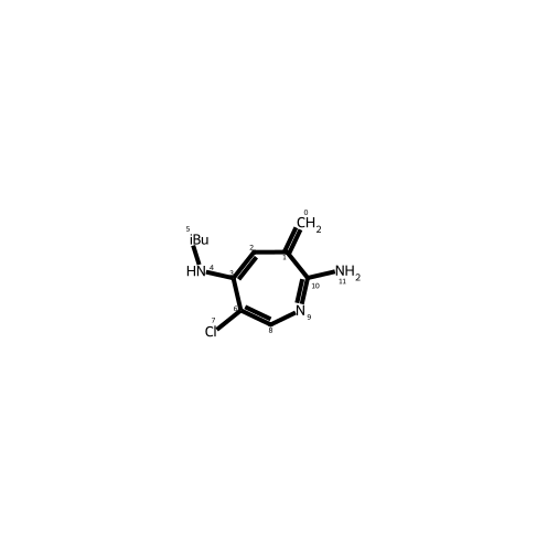 C=C1C=C(NC(C)CC)C(Cl)=CN=C1N